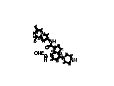 Cc1cn2cc(NC(=O)N3CCc4c(N5CCNCC5)ccnc43)nc2c(C)n1.O=CO